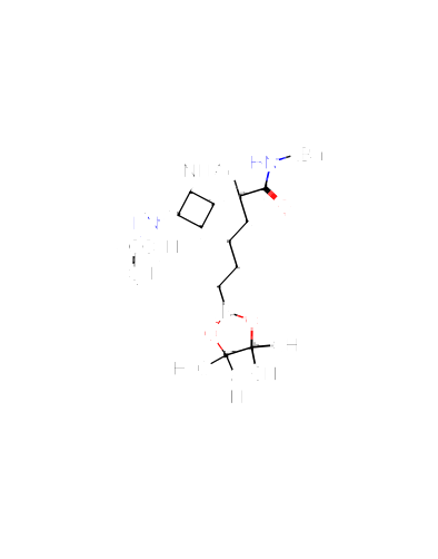 CC(=O)NC(CCCCB1OC(C)(C)C(C)(C)O1)(C(=O)NC(C)(C)C)[C@H]1C[C@@H](N)C1.CC(=O)O